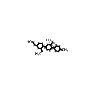 CCC1CC(CCO)CCC1C1CCC(C2CCC(C)CC2)C(CC)C1